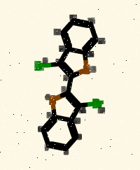 Brc1c(-c2sc3ccccc3c2Br)sc2ccccc12